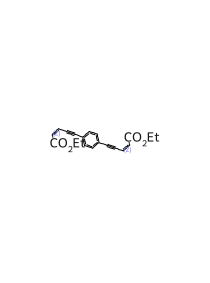 CCOC(=O)/C=C\C#Cc1ccc(C#C/C=C\C(=O)OCC)cc1